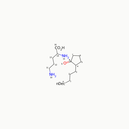 CCCCCCCCCCCCCC1CCCC1=O.NCCCC(N)C(=O)O